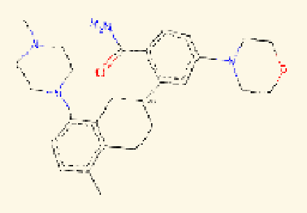 Cc1ccc(N2CCN(C)CC2)c2c1CC[C@@H](c1cc(N3CCOCC3)ccc1C(N)=O)C2